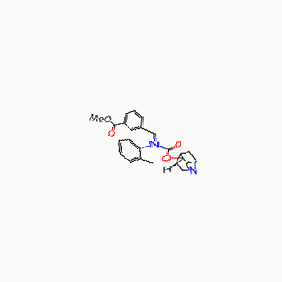 COC(=O)c1cccc(CN(C(=O)O[C@H]2CN3CCC2CC3)c2ccccc2C)c1